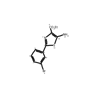 CCOC(=O)c1nc(-c2cccc(Br)c2)sc1N